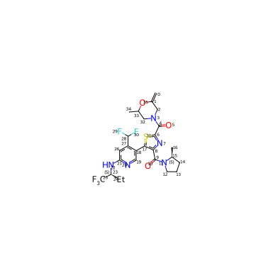 C=C1CN(C(=O)c2nc(C(=O)N3CCC[C@@H]3C)c(-c3cnc(N[C@@H](CC)C(F)(F)F)cc3C(F)F)s2)CC(C)O1